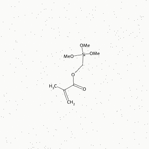 C=C(C)C(=O)O[CH][Si](OC)(OC)OC